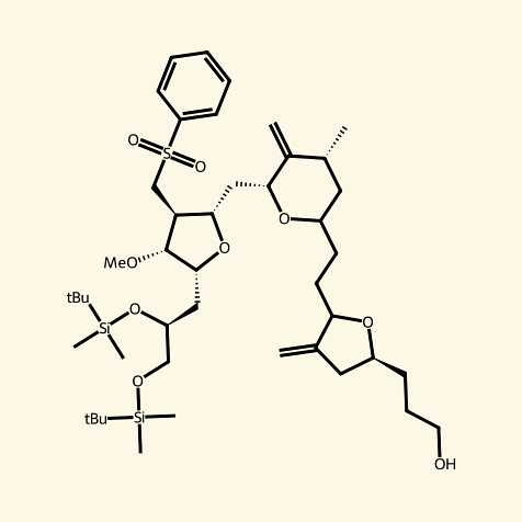 C=C1C[C@H](CCCO)OC1CCC1C[C@@H](C)C(=C)[C@@H](C[C@@H]2O[C@H](C[C@@H](CO[Si](C)(C)C(C)(C)C)O[Si](C)(C)C(C)(C)C)[C@H](OC)[C@H]2CS(=O)(=O)c2ccccc2)O1